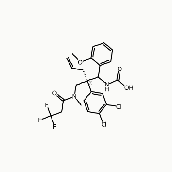 C=CC[C@@](CN(C)C(=O)CC(F)(F)F)(c1ccc(Cl)c(Cl)c1)C(NC(=O)O)c1ccccc1OC